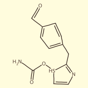 NC(=O)O[SH]1C=CN=C1Cc1ccc(C=O)cc1